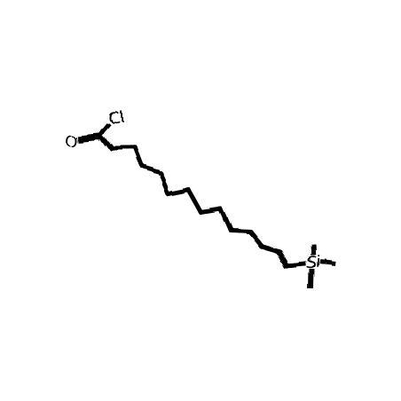 C[Si](C)(C)CCCCCCCCCCCCCC(=O)Cl